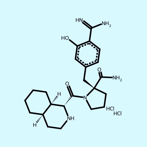 Cl.Cl.N=C(N)c1ccc(C[C@@]2(C(N)=O)CCCN2C(=O)[C@@H]2NCC[C@H]3CCCC[C@H]32)cc1O